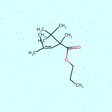 CCCOC(=O)C(C)(C=C(C)C)C(C)(C)C